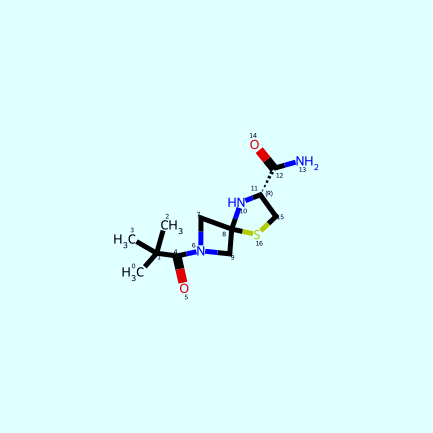 CC(C)(C)C(=O)N1CC2(C1)N[C@H](C(N)=O)CS2